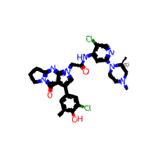 Cc1cc(-c2cn(CC(=O)Nc3cc(N4CCN(C)C[C@@H]4C)ncc3Cl)c3nc4n(c(=O)c23)CCC4)cc(Cl)c1O